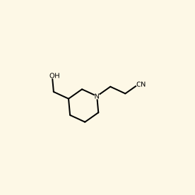 N#CCCN1CCCC(CO)C1